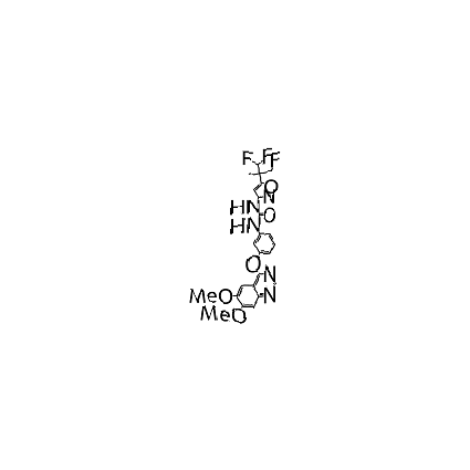 COc1cc2ncnc(Oc3cccc(NC(=O)Nc4cc(C(C)(CF)C(F)F)on4)c3)c2cc1OC